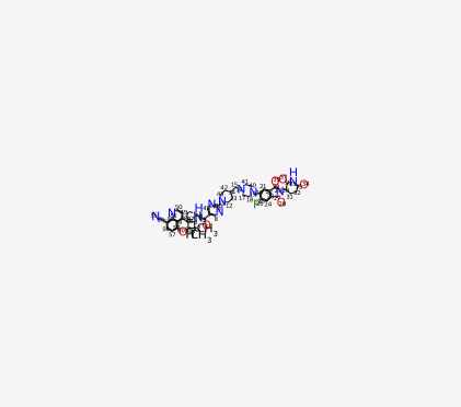 CC1(C)[C@H](NC(=O)c2cnc(N3CCC(CN4CCN(c5cc6c(cc5F)C(=O)N(C5CCC(=O)NC5=O)C6=O)CC4)CC3)nc2)C2(C)c3ccnc4c(C#N)ccc(c34)O[C@@H]12